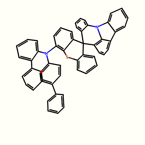 c1ccc(-c2ccc(N(c3ccccc3-c3ccccc3)c3cccc4c3Sc3ccccc3C43c4ccccc4-n4c5ccccc5c5cccc3c54)cc2)cc1